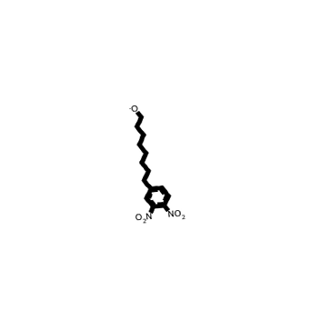 [O]CCCCCCCCc1ccc([N+](=O)[O-])c([N+](=O)[O-])c1